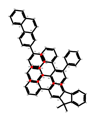 CC1(C)c2ccccc2-c2ccc(-c3ccccc3N(c3ccc(-c4ccc5c(ccc6ccccc65)c4)cc3)c3cccc(-c4ccccc4)c3-c3ccccc3-c3ccccc3)cc21